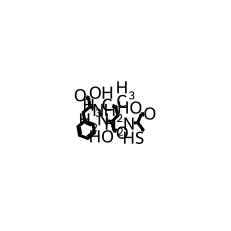 CC(C)CC(N)C(=O)O.NC(CS)C(=O)O.NC(Cc1ccccc1)C(=O)O